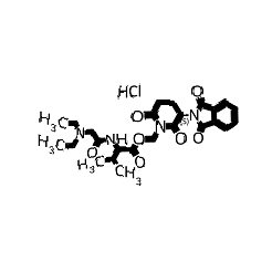 CCN(CC)CC(=O)NC(C(=O)OCN1C(=O)CC[C@H](N2C(=O)c3ccccc3C2=O)C1=O)C(C)C.Cl